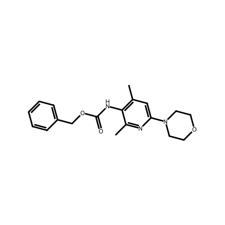 Cc1cc(N2CCOCC2)nc(C)c1NC(=O)OCc1ccccc1